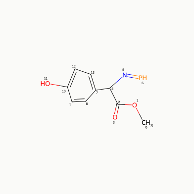 COC(=O)C(N=P)c1ccc(O)cc1